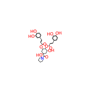 O=C(/C=C/c1ccc(O)c(O)c1)O[C@@H]1C[C@@](O)(C(=O)N2CCCC2)CC(O)[C@@H]1OC(=O)/C=C/c1ccc(O)c(O)c1